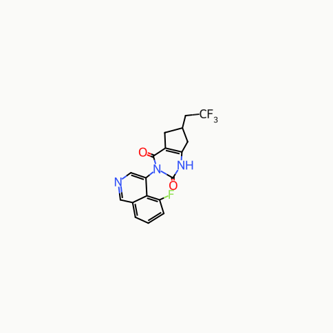 O=c1[nH]c2c(c(=O)n1-c1cncc3cccc(F)c13)CC(CC(F)(F)F)C2